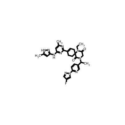 CCN1C(=O)CN(C(C)c2ccc(-n3cc(F)cn3)nc2)C(=O)C12CC=C(c1nc(C)cc(Nc3cc(C)[nH]n3)n1)CC2